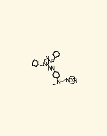 CCN(CC[N+]12CCN(CC1)CC2)c1ccc(/N=N/c2n(Cc3ccccc3)cn[n+]2Cc2ccccc2)cc1